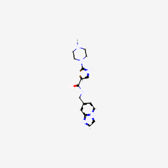 CC(C)N1CCN(c2ncc(C(=O)NCc3ccn4ccnc4c3)s2)CC1